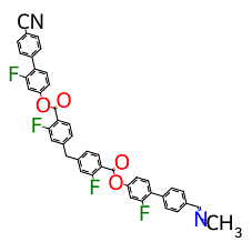 CN=Cc1ccc(-c2ccc(OC(=O)c3ccc(Cc4ccc(C(=O)Oc5ccc(-c6ccc(C#N)cc6)c(F)c5)c(F)c4)cc3F)cc2F)cc1